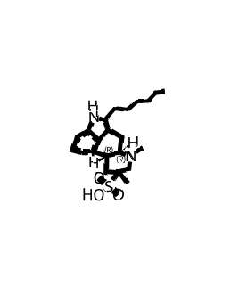 CCCCCCC1Nc2cccc3c2C1C[C@@H]1[C@@H]3CC(C)(S(=O)(=O)O)CN1C